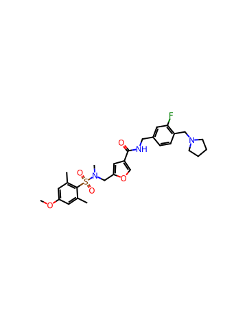 COc1cc(C)c(S(=O)(=O)N(C)Cc2cc(C(=O)NCc3ccc(CN4CCCC4)c(F)c3)co2)c(C)c1